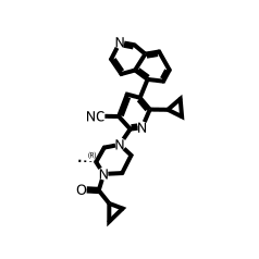 C[C@@H]1CN(c2nc(C3CC3)c(-c3cccc4cnccc34)cc2C#N)CCN1C(=O)C1CC1